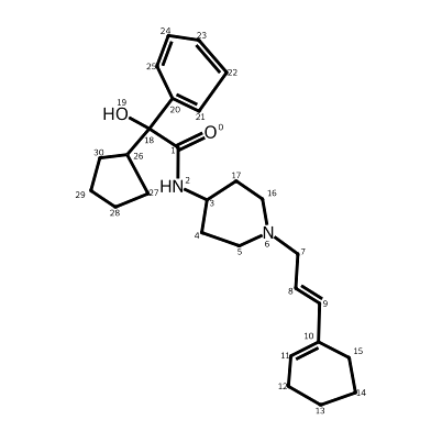 O=C(NC1CCN(C/C=C/C2=CCCCC2)CC1)C(O)(c1ccccc1)C1CCCC1